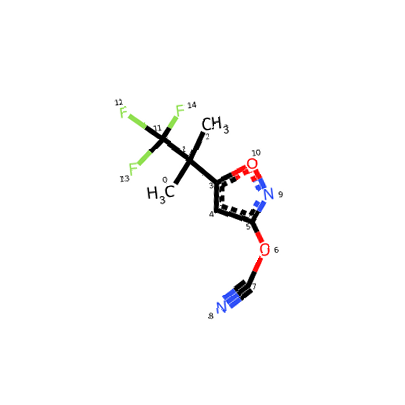 CC(C)(c1cc(OC#N)no1)C(F)(F)F